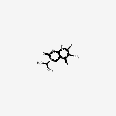 Cc1c(F)[nH]c2nc(=O)n(C(C)C)cc2c1=O